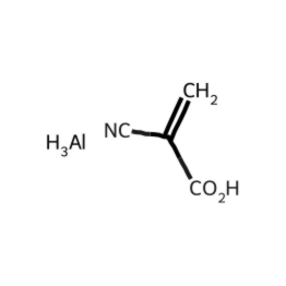 C=C(C#N)C(=O)O.[AlH3]